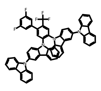 Fc1cc(F)cc(-c2cc(-n3c4ccccc4c4cc(-n5c6ccccc6c6ccccc65)ccc43)c(-n3c4ccccc4c4cc(-n5c6ccccc6c6ccccc65)ccc43)cc2C(F)(F)F)c1